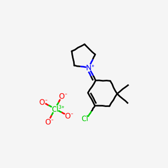 CC1(C)CC(Cl)=CC(=[N+]2CCCC2)C1.[O-][Cl+3]([O-])([O-])[O-]